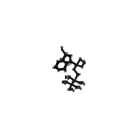 CC(C)(C)[Si](C)(C)OCC1(n2cc(I)c3cncnc32)COC1